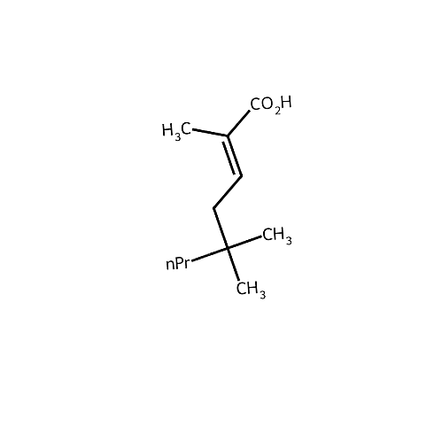 CCCC(C)(C)CC=C(C)C(=O)O